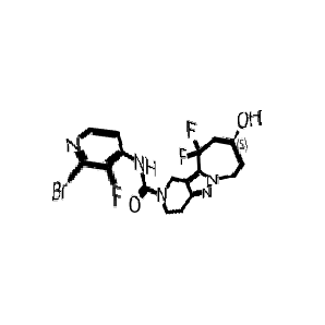 O=C(Nc1ccnc(Br)c1F)N1CCc2nn3c(c2C1)C(F)(F)C[C@@H](O)CC3